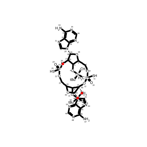 CC(C)(C)[Si](C)(C)OC1C2COP(=O)(S)O[C@@H]3C(O[Si](C)(C)C(C)(C)C)C(COP(=O)(S)O[C@H]1[C@H](n1cnc4c(N)ncnc41)O2)O[C@H]3n1cnc2c(N)ncnc21